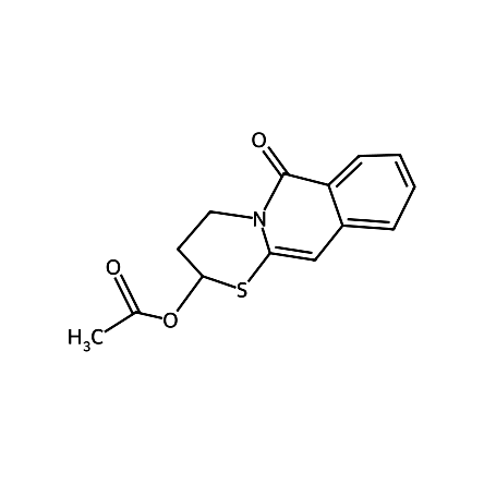 CC(=O)OC1CCn2c(cc3ccccc3c2=O)S1